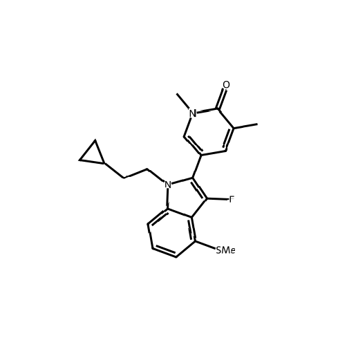 CSc1cccc2c1c(F)c(-c1cc(C)c(=O)n(C)c1)n2CCC1CC1